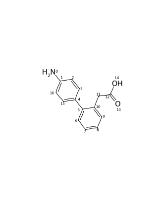 Nc1ccc(-c2ccccc2CC(=O)O)cc1